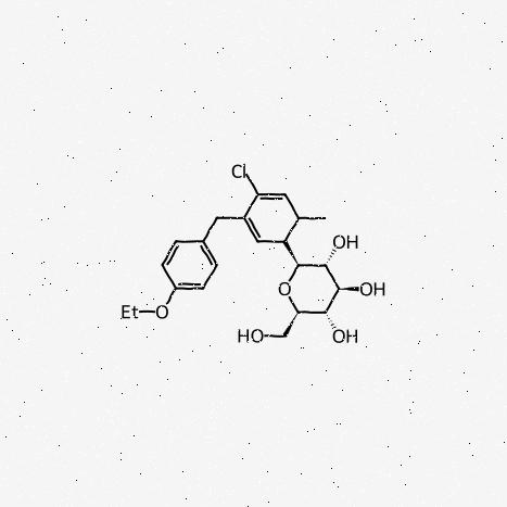 CCOc1ccc(CC2=CC([C@@H]3O[C@H](CO)[C@@H](O)[C@H](O)[C@H]3O)C(C)C=C2Cl)cc1